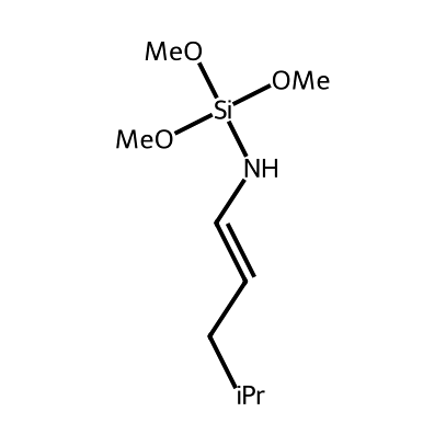 CO[Si](NC=CCC(C)C)(OC)OC